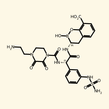 NCCN1CCN(C(=O)N[C@H](C(=O)N[C@H]2Cc3cccc(C(=O)O)c3OB2O)c2cccc(NS(N)(=O)=O)c2)C(=O)C1=O